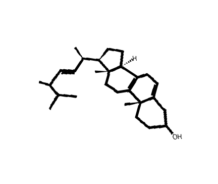 CC(C)C(C)C=C[C@@H](C)[C@H]1CC[C@H]2C3=C(CC[C@]12C)[C@@]1(C)CCC(O)CC1=CC3